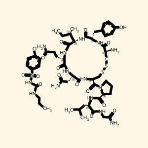 CCCNC(=O)NS(=O)(=O)c1ccc(Cl)cc1.CC[C@H](C)[C@@H]1NC(=O)[C@H](Cc2ccc(O)cc2)NC(=O)[C@@H](N)CSSC[C@@H](C(=O)N2CCC[C@H]2C(=O)N[C@@H](CC(C)C)C(=O)NCC(N)=O)NC(=O)[C@H](CC(N)=O)NC(=O)[C@H](CCC(N)=O)NC1=O